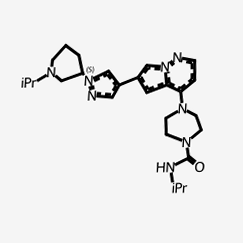 CC(C)NC(=O)N1CCN(c2ccnn3cc(-c4cnn([C@H]5CCCN(C(C)C)C5)c4)cc23)CC1